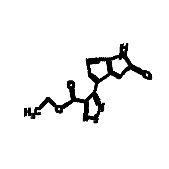 CCOC(=O)c1nsnc1-c1cccc2c1CC(=O)N2